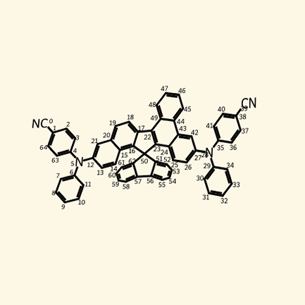 N#Cc1ccc(N(c2ccccc2)c2ccc3c4c(ccc3c2)-c2c(c3ccc(N(c5ccccc5)c5ccc(C#N)cc5)cc3c3ccccc23)C42c3ccccc3-c3ccccc32)cc1